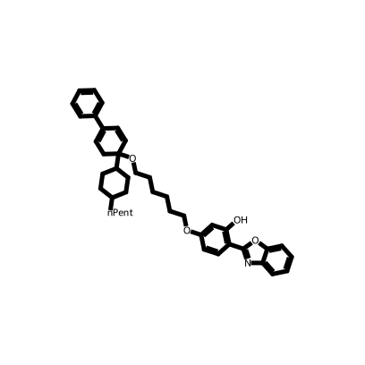 CCCCCC1CCC(C2(OCCCCCCOc3ccc(-c4nc5ccccc5o4)c(O)c3)C=CC(c3ccccc3)=CC2)CC1